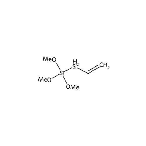 C=C[SiH2][Si](OC)(OC)OC